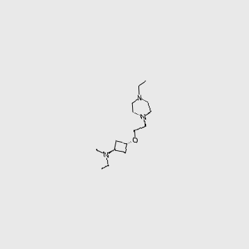 CCN1CCN(CCO[C@H]2C[C@H](N(C)CC)C2)CC1